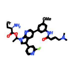 COc1cc(NC(=O)/C=C/CN(C)C)cc(-c2cnc3c(c2)c(-c2ccnc(F)c2)cn3C(C)OC(=O)[C@@H](N)CC(C)C)c1